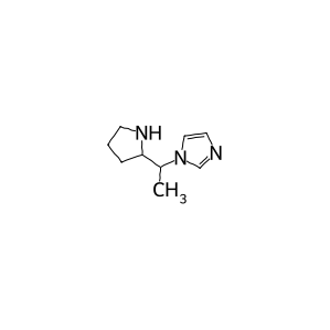 CC(C1CCCN1)n1ccnc1